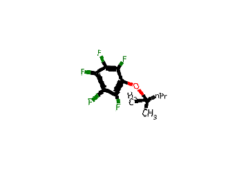 CCCC(C)(C)Oc1c(F)c(F)c(F)c(F)c1F